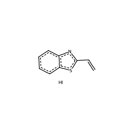 C=Cc1nc2ccccc2s1.I